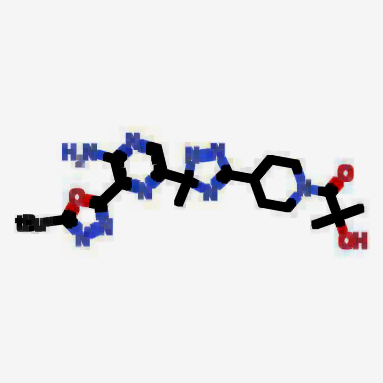 CC(C)(O)C(=O)N1CCC(C2=NC(C)(c3cnc(N)c(-c4nnc(C(C)(C)C)o4)n3)N=N2)CC1